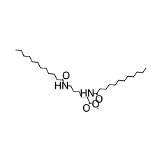 CCCCCCCCCCCC(=O)NCCCC[C@H](NC(=O)CCCCCCCCCCC)C(=O)OC